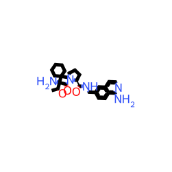 CC(=O)C(N)(C(=O)N1CCC[C@H]1C(=O)NCc1ccc2c(N)nccc2c1)C1(C)CCCCC1